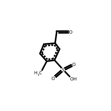 Cc1ccc([C]=O)cc1S(=O)(=O)O